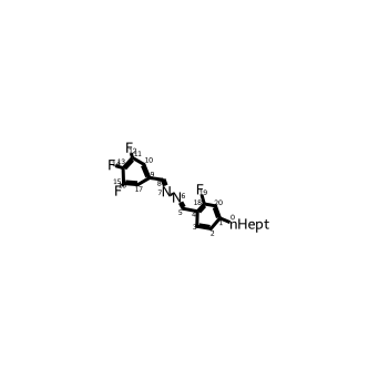 CCCCCCCc1ccc(C=NN=Cc2cc(F)c(F)c(F)c2)c(F)c1